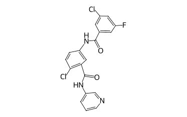 O=C(Nc1ccc(Cl)c(C(=O)Nc2cccnc2)c1)c1cc(F)cc(Cl)c1